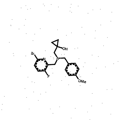 COc1ccc(CN(Cc2nc(Br)ccc2F)CC2(O)CC2)cc1